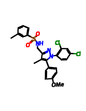 COc1ccc(-c2c(C)c(CNS(=O)(=O)c3cccc(C)c3)nn2-c2ccc(Cl)cc2Cl)cc1